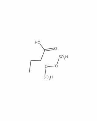 CCCC(=O)O.O=S(=O)(O)OOS(=O)(=O)O